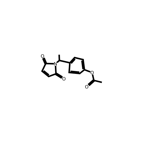 CC(=O)Oc1ccc(C(C)N2C(=O)C=CC2=O)cc1